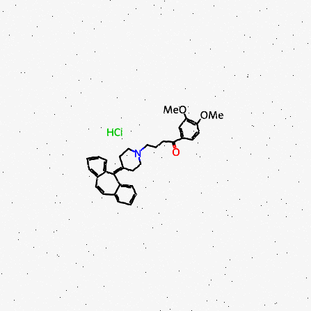 COc1ccc(C(=O)CCCN2CCC(=C3c4ccccc4C=Cc4ccccc43)CC2)cc1OC.Cl